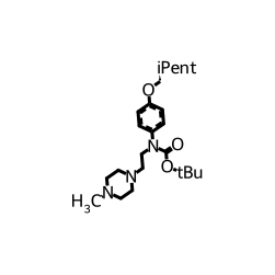 CCC[C@@H](C)COc1ccc(N(CCN2CCN(C)CC2)C(=O)OC(C)(C)C)cc1